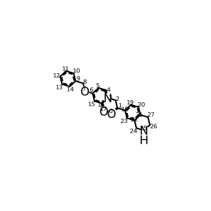 O=C(Cn1ccc(OCc2ccccc2)cc1=O)c1ccc2c(c1)CNCC2